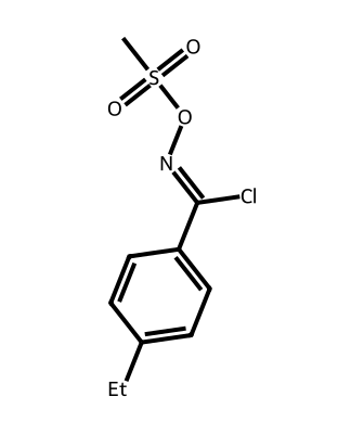 CCc1ccc(/C(Cl)=N/OS(C)(=O)=O)cc1